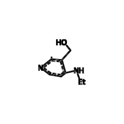 CCNc1ccn[c]c1CO